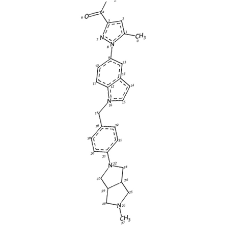 Cc1cc(C(N)=O)nn1-c1ccc2c(ccn2Cc2ccc(N3CC4CN(C)CC4C3)cc2)c1